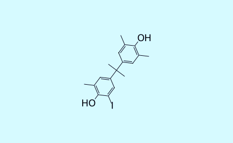 Cc1cc(C(C)(C)c2cc(C)c(O)c(I)c2)cc(C)c1O